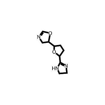 C1=NCC(C2CCC(C3=NCCN3)O2)O1